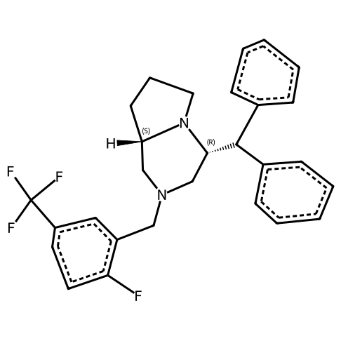 Fc1ccc(C(F)(F)F)cc1CN1C[C@@H]2CCCN2[C@H](C(c2ccccc2)c2ccccc2)C1